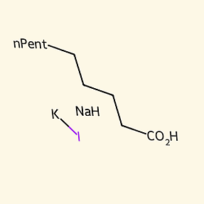 CCCCCCCCCC(=O)O.[K][I].[NaH]